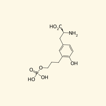 N[C@@H](Cc1ccc(O)c(CCCOP(=O)(O)O)c1)C(=O)O